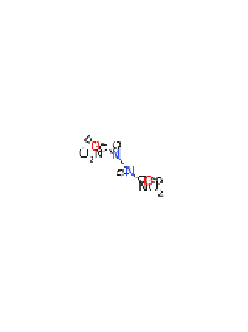 O=[N+]([O-])c1cc(CCN(CCCCCCN(CCc2ccc(OCc3ccccc3)c([N+](=O)[O-])c2)Cc2ccccc2)Cc2ccccc2)ccc1OCc1ccccc1